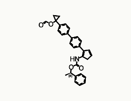 C[C@@H](OC(=O)NC1=C(c2ccc(-c3ccc(C4(OC=O)CC4)cc3)cc2)C=CC1)c1ccccc1